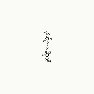 O=C(O)Cc1cc(Cl)c(OCCCOCCOc2c(Cl)cc(CC(=O)O)cc2Cl)c(Cl)c1